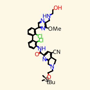 COc1nc(-c2cccc(-c3cccc(NC(=O)c4cc(C#N)c5c(n4)CN(CCO[Si](C)(C)C(C)(C)C)CC5)c3Cl)c2Cl)cnc1CNCCO